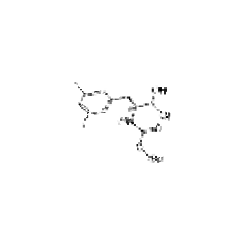 Cc1cc(C)cc(C[C@H](NC(=O)OC(C)(C)C)C(O)C#N)c1